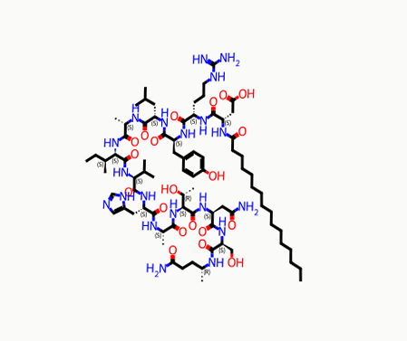 CCCCCCCCCCCCCCCC(=O)N[C@@H](CC(=O)O)C(=O)N[C@@H](CCCNC(=N)N)C(=O)N[C@@H](Cc1ccc(O)cc1)C(=O)N[C@@H](CC(C)C)C(=O)N[C@@H](C)C(=O)N[C@H](C(=O)N[C@H](C(=O)N[C@@H](Cc1cnc[nH]1)C(=O)N[C@@H](C)C(=O)N[C@H](C(=O)N[C@@H](CC(N)=O)C(=O)N[C@@H](CO)C(=O)N[C@H](C)CCC(N)=O)[C@@H](C)O)C(C)C)[C@@H](C)CC